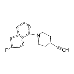 C#CC1CCN(c2nccc3cc(F)ccc23)CC1